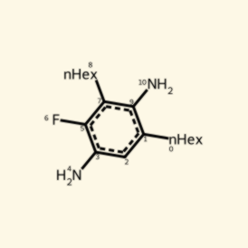 CCCCCCc1cc(N)c(F)c(CCCCCC)c1N